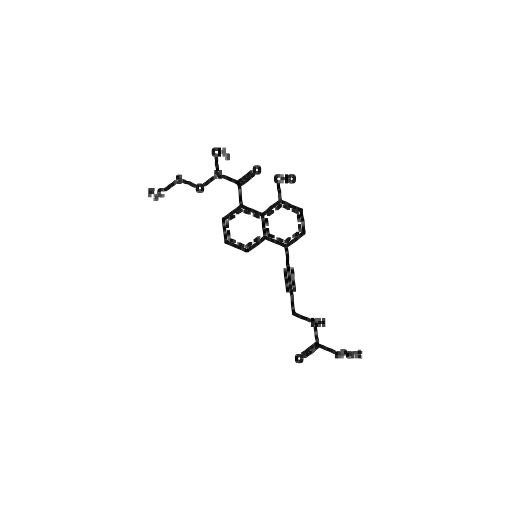 CCCCCC(=O)NCC#Cc1ccc(C=O)c2c(C(=O)N(C)OSC(F)(F)F)cccc12